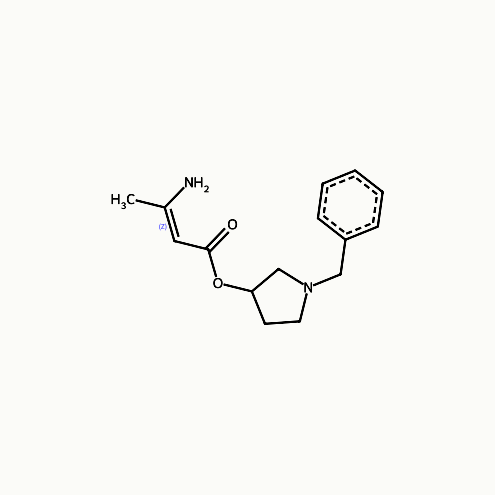 C/C(N)=C/C(=O)OC1CCN(Cc2ccccc2)C1